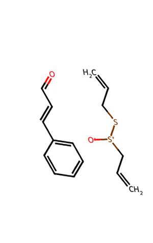 C=CCS[S+]([O-])CC=C.O=CC=Cc1ccccc1